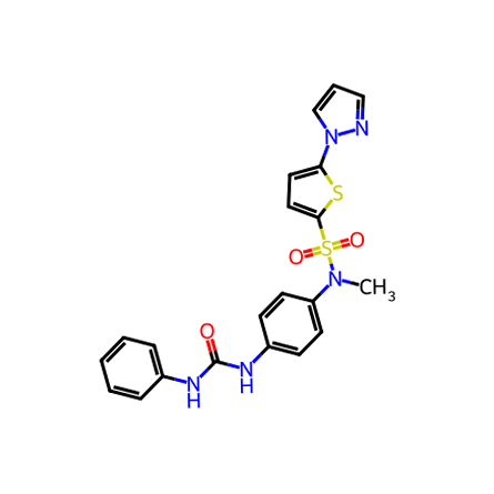 CN(c1ccc(NC(=O)Nc2ccccc2)cc1)S(=O)(=O)c1ccc(-n2cccn2)s1